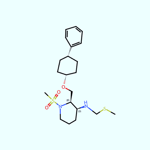 CSCN[C@H]1CCCN(S(C)(=O)=O)[C@H]1CO[C@H]1CC[C@@H](c2ccccc2)CC1